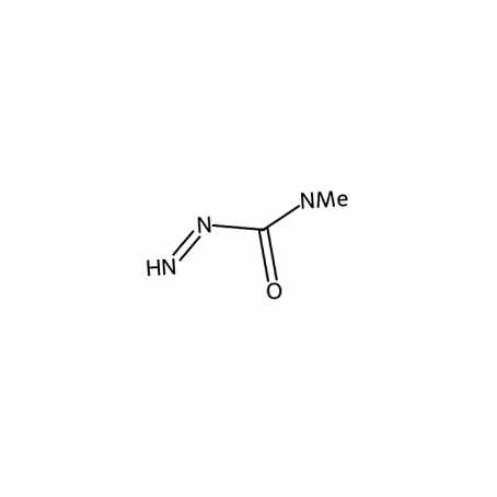 CNC(=O)N=N